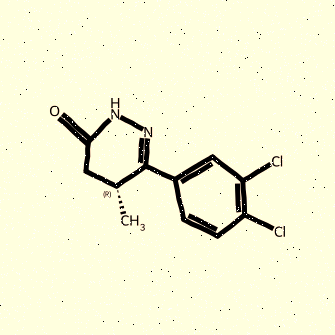 C[C@@H]1CC(=O)NN=C1c1ccc(Cl)c(Cl)c1